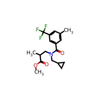 COC(=O)C(C)CN(CC1CC1)C(=O)c1cc(C)cc(C(F)(F)F)c1